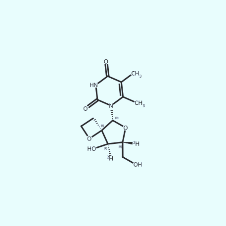 [2H][C@@]1(O)[C@@]([2H])(CO)O[C@@H](n2c(C)c(C)c(=O)[nH]c2=O)[C@@]12CCO2